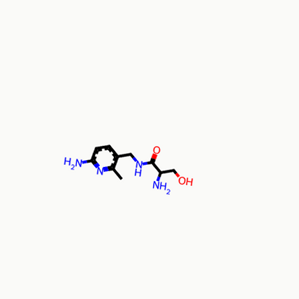 Cc1nc(N)ccc1CNC(=O)C(N)CO